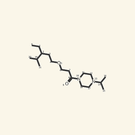 CCC(CCOCCC(=O)N1CCN(C(C)C)CC1)C(C)C